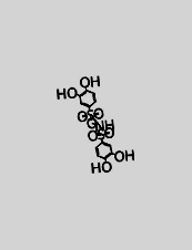 O=S(=O)(NOS(=O)(=O)c1ccc(O)c(O)c1)c1ccc(O)c(O)c1